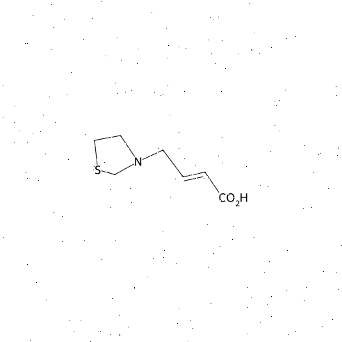 O=C(O)C=CCN1CCSC1